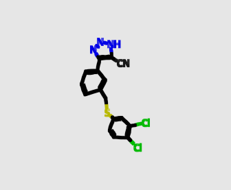 N#Cc1[nH]nnc1-c1cccc(CSc2ccc(Cl)c(Cl)c2)c1